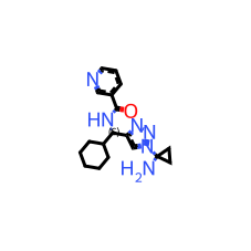 NC1(n2cc([C@@H](NC(=O)c3cccnc3)C3CCCCC3)nn2)CC1